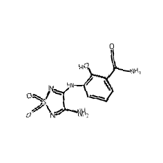 NC(=O)c1cccc(NC2=NS(=O)(=O)N=C2N)c1O